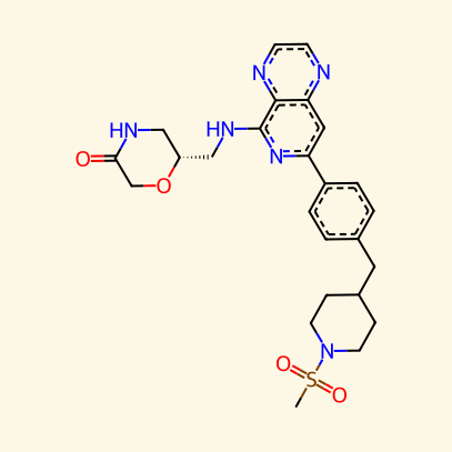 CS(=O)(=O)N1CCC(Cc2ccc(-c3cc4nccnc4c(NC[C@H]4CNC(=O)CO4)n3)cc2)CC1